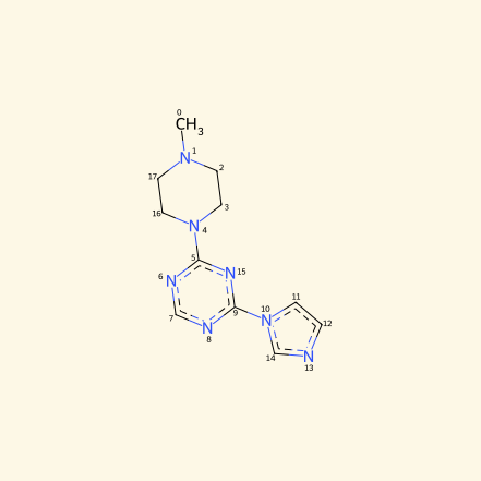 CN1CCN(c2ncnc(-n3ccnc3)n2)CC1